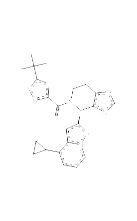 CC(C)(C)c1nnc(C(=O)N2CCc3[nH]cnc3[C@H]2c2cc3c(C4CC4)cccn3n2)o1